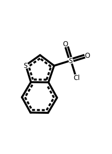 O=S(=O)(Cl)c1csc2ccccc12